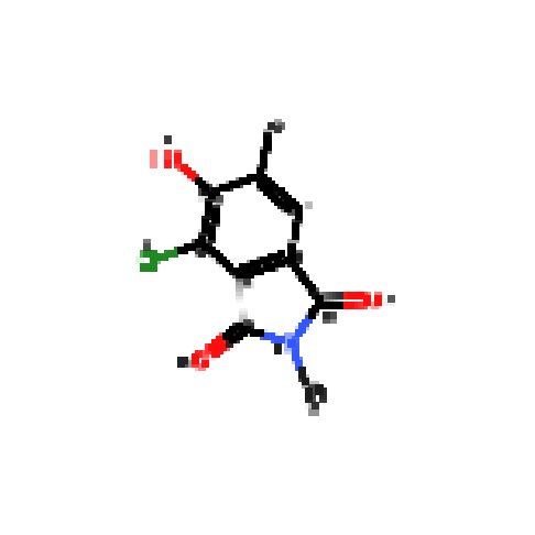 Cc1cc2c(c(Cl)c1O)C(=O)N(C(C)C)C2=O